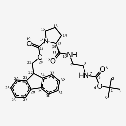 CC(C)(C)OC(=O)NCCNC(=O)[C@@H]1CCCN1C(=O)OCC1c2ccccc2-c2ccccc21